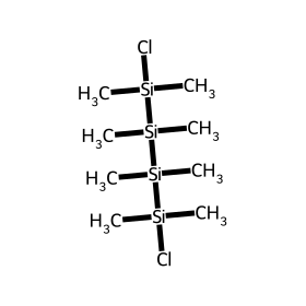 C[Si](C)(Cl)[Si](C)(C)[Si](C)(C)[Si](C)(C)Cl